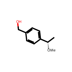 CO[C@@H](C)c1ccc(CO)cc1